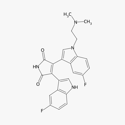 CN(C)CCn1cc(C2=C(c3c[nH]c4ccc(F)cc34)C(=O)NC2=O)c2cc(F)ccc21